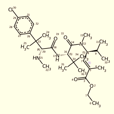 CCOC(=O)/C(C)=C/[C@H](C(C)C)N(C)C(=O)[C@@H](NC(=O)[C@H](NC)C(C)(C)c1ccc(Cl)cc1)C(C)(C)C